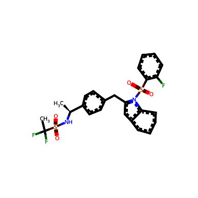 C[C@H](NS(=O)(=O)C(C)(F)F)c1ccc(Cc2cc3ccccc3n2S(=O)(=O)c2ccccc2F)cc1